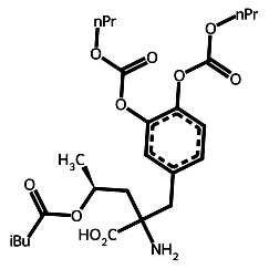 CCCOC(=O)Oc1ccc(CC(N)(C[C@H](C)OC(=O)C(C)CC)C(=O)O)cc1OC(=O)OCCC